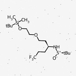 CC(C)(C)[S@@+]([O-])N[C@H](CCOCCO[Si](C)(C)C(C)(C)C)CCC(F)(F)F